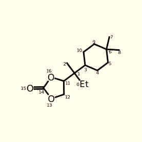 CCC(C)(C1CCC(C)(C)CC1)C1COC(=O)O1